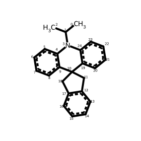 CC(C)N1c2ccccc2C2(Cc3ccccc3C2)c2ccccc21